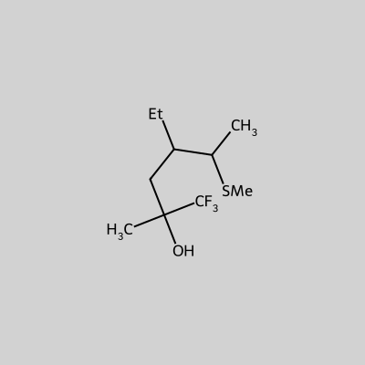 CCC(CC(C)(O)C(F)(F)F)C(C)SC